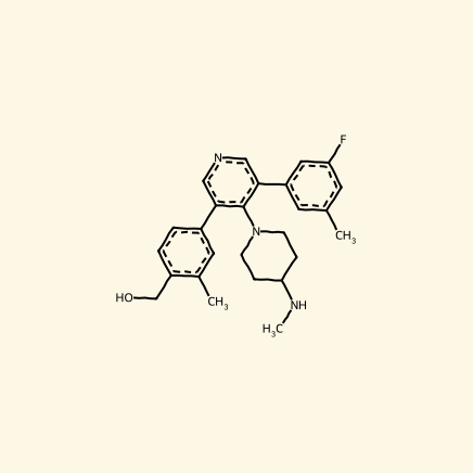 CNC1CCN(c2c(-c3cc(C)cc(F)c3)cncc2-c2ccc(CO)c(C)c2)CC1